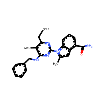 CNCc1nc(-n2c(C)cc3c(C(N)=O)cccc32)nc(NCc2ccccc2)c1OC